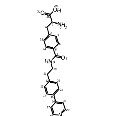 N[C@@H](Cc1ccc(C(=O)NCCc2ccc(-c3ccncc3)cc2)cc1)C(=O)O